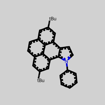 CC(C)(C)c1cc2ccc3cc(C(C)(C)C)cc4c3c2c(c1)c1ccn(-c2ccccc2)c14